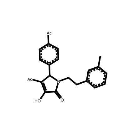 CC(=O)C1=C(O)C(=O)N(CCc2cccc(C)c2)C1c1ccc(C(C)=O)cc1